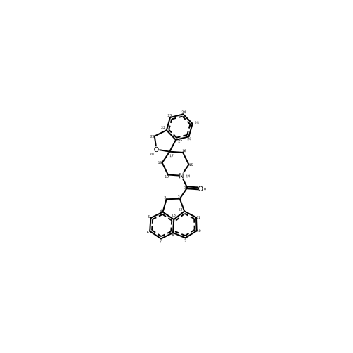 O=C(C1Cc2cccc3cccc1c23)N1CCC2(CC1)OCc1ccccc12